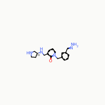 NN=Cc1cccc(Cn2cccc(CN[C@H]3CCNC3)c2=O)c1